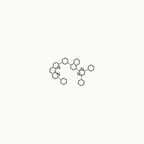 c1ccc(-c2cc(-c3ccccc3)nc(-c3ccc(-c4cccc(-c5ccc6ccc7ccc(-c8ccccc8)nc7c6n5)c4)c4ccccc34)n2)cc1